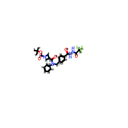 CC(C)(C)OC(=O)N1CC(C(=O)N(Cc2ccc(C(=O)NNC(=O)C(F)(F)F)cc2)c2ccccc2)C1